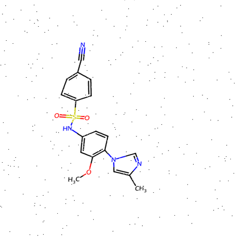 COc1cc(NS(=O)(=O)c2ccc(C#N)cc2)ccc1-n1cnc(C)c1